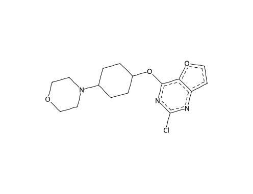 Clc1nc(OC2CCC(N3CCOCC3)CC2)c2occc2n1